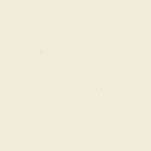 CCOC(=O)CN1CCCc2cc(-c3cccc(-c4ccccc4C)c3C)ccc2C1